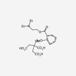 CCN(CC)CCOC(=O)c1ccccc1OC(C)=O.O=C(O)CC(O)(CC(=O)O)C(=O)O